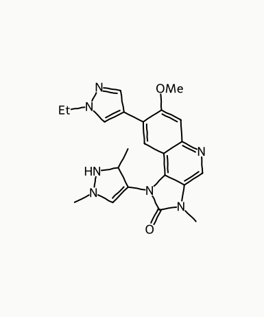 CCn1cc(-c2cc3c(cc2OC)ncc2c3n(C3=CN(C)NC3C)c(=O)n2C)cn1